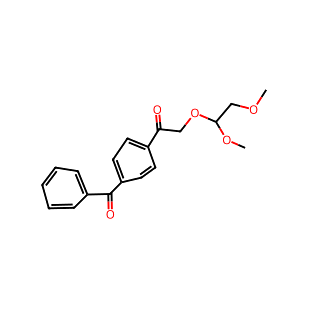 COCC(OC)OCC(=O)c1ccc(C(=O)c2ccccc2)cc1